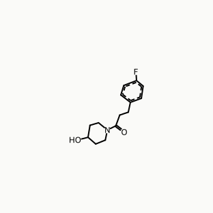 O=C(CCc1ccc(F)cc1)N1CCC(O)CC1